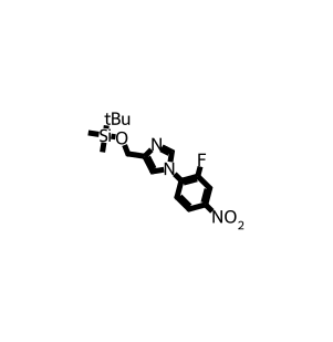 CC(C)(C)[Si](C)(C)OCc1cn(-c2ccc([N+](=O)[O-])cc2F)cn1